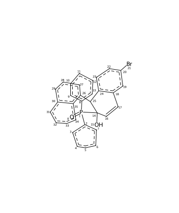 O=P(c1ccccc1)(c1ccccc1)C1(O)C=Cc2cc(Br)ccc2C1c1cccc2ccccc12